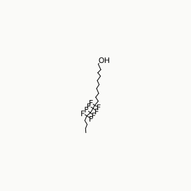 CCCCC(F)(F)C(F)(F)C(F)(F)C(F)(F)CCCCCCCCCCO